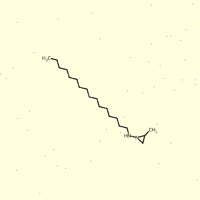 CCCCCCCCCCCCCCCCNN1CC1C